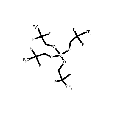 FC(F)(F)C(F)(F)CO[Si](OCC(F)(F)C(F)(F)F)(OCC(F)(F)C(F)(F)F)OCC(F)(F)C(F)(F)F